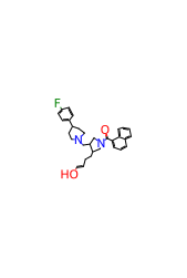 O=C(c1cccc2ccccc12)N1CC(CCC=CO)C(CN2CCC(c3ccc(F)cc3)CC2)C1